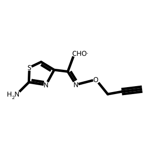 C#CCO/N=C(\[C]=O)c1csc(N)n1